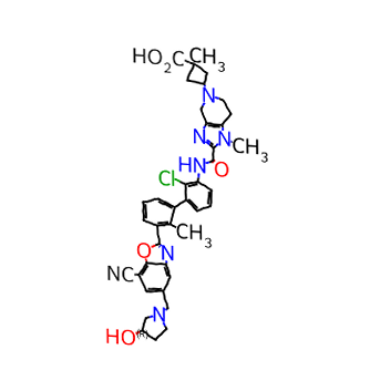 Cc1c(-c2nc3cc(CN4CC[C@@H](O)C4)cc(C#N)c3o2)cccc1-c1cccc(NC(=O)c2nc3c(n2C)CCN(C2CC(C)(C(=O)O)C2)C3)c1Cl